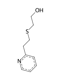 OCCSCCc1ccccn1